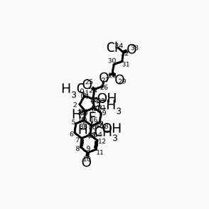 C[C@@H]1C[C@H]2[C@@H]3CCC4=CC(=O)C=C[C@]4(C)[C@@]3(F)[C@@H](O)C[C@]2(C)[C@@]1(O)C(=O)COC(=O)CCC(=O)Cl